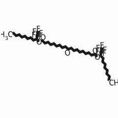 CCCCCCCCCC(OC(=O)CCCCCCCCC(=O)CCCCCCCCC(=O)OC(CCCCCCCCC)C(F)(F)C(F)(F)F)C(F)(F)C(F)(F)F